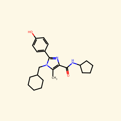 Cc1c(C(=O)NC2CCCC2)nc(-c2ccc(O)cc2)n1CC1CCCCC1